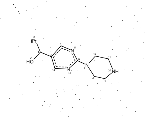 CC(C)C(O)c1cnc(N2CCNCC2)nc1